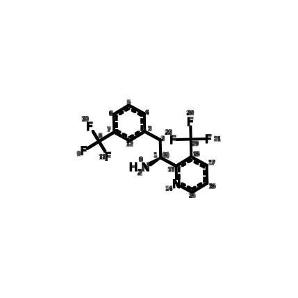 N[C@@H](Cc1cccc(C(F)(F)F)c1)c1ncccc1C(F)(F)F